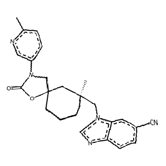 Cc1ccc(N2CC3(CCC[C@](C)(Cn4cnc5ccc(C#N)cc54)C3)OC2=O)cn1